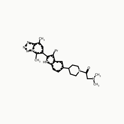 Cc1cc(-c2[nH]c3ccc(C4CCN(C(=O)CN(C)C)CC4)cc3c2C(C)C)c(C)n2nnnc12